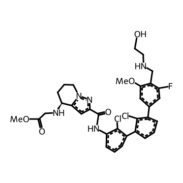 COC(=O)CN[C@H]1CCCn2nc(C(=O)Nc3cccc(-c4cccc(-c5cc(F)c(CNCCO)c(OC)c5)c4Cl)c3Cl)cc21